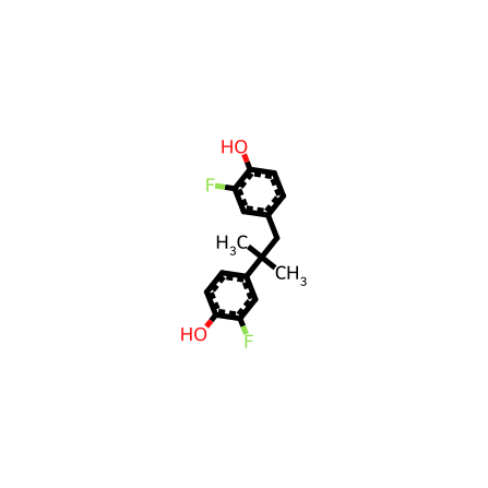 CC(C)(Cc1ccc(O)c(F)c1)c1ccc(O)c(F)c1